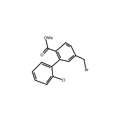 COC(=O)c1ccc(CBr)cc1-c1ccccc1Cl